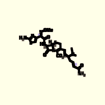 CO/N=C(\C(=O)N[C@@H]1C(=O)N2C(C(=O)O)=C(C=CC(C/C=C/C(N)=O)N(C)C)CS[C@@H]12)c1csc(N)n1